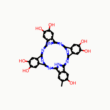 Cc1cc2c3nc4nc(nc5[nH]c(nc6nc(nc([nH]3)c2cc1O)-c1cc(O)c(O)cc1-6)c1cc(O)c(O)cc51)-c1cc(O)c(O)cc1-4